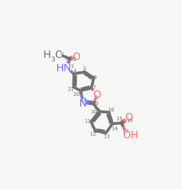 CC(=O)Nc1ccc2oc(-c3cccc(C(=O)O)c3)nc2c1